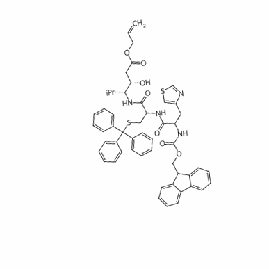 C=CCOC(=O)C[C@H](O)[C@H](NC(=O)C(CSC(c1ccccc1)(c1ccccc1)c1ccccc1)NC(=O)C(Cc1cscn1)NC(=O)OCC1c2ccccc2-c2ccccc21)C(C)C